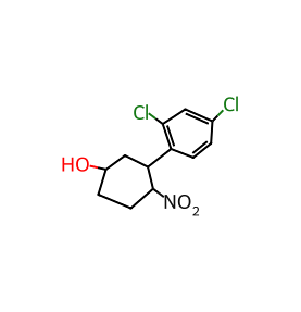 O=[N+]([O-])C1CCC(O)CC1c1ccc(Cl)cc1Cl